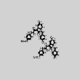 COc1ccc(NC(=O)C(=O)c2c(C(F)(F)F)n(Cc3ccc(Cl)cc3)c3ccc(C)cc23)cc1.COc1ccc(NC(=O)C(=O)c2c(C(F)(F)F)n(Cc3ccc(Cl)cc3)c3ccc(O)cc23)cc1